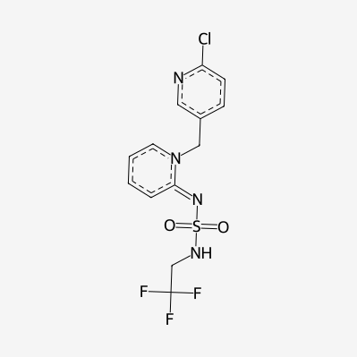 O=S(=O)(N=c1ccccn1Cc1ccc(Cl)nc1)NCC(F)(F)F